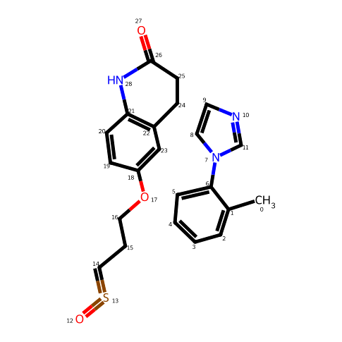 Cc1ccccc1-n1ccnc1.O=S=CCCOc1ccc2c(c1)CCC(=O)N2